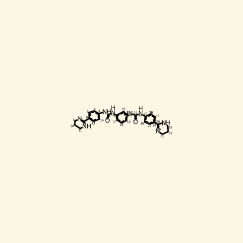 O=C(Nc1ccc(C2=NCCCN2)cc1)Nc1cccc(NC(=O)Nc2ccc(C3=NCCCN3)cc2)c1